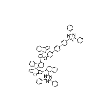 c1ccc(-c2nc(-c3ccccc3)nc(-c3ccc(-c4ccc(-c5ccc6c(c5)C5(c7ccccc7-c7ccccc75)c5cccc(-c7cccc8c7-c7ccccc7C87c8ccccc8Oc8ccc(-c9ccc%10ccccc%10c9-c9nc(-c%10ccccc%10)nc(-c%10ccccc%10)n9)cc87)c5O6)cc4)cc3)n2)cc1